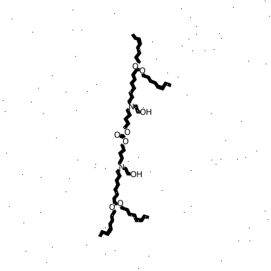 CC/C=C\CCCCOC(CCCCCCCN(CCO)CCCCCOC(=O)OCCCCCN(CCO)CCCCCCCC(OCCCC/C=C\CC)OCCCC/C=C\CC)OCCCC/C=C\CC